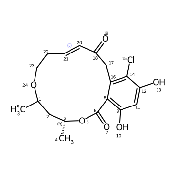 CC1C[C@@H](C)OC(=O)c2c(O)cc(O)c(Cl)c2CC(=O)/C=C/CCO1